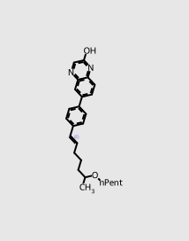 CCCCCOC(C)CCC/C=C/c1ccc(-c2ccc3nc(O)cnc3c2)cc1